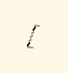 CCCCCCCCCCCCSSSSSSCCCCCCCCCCCC